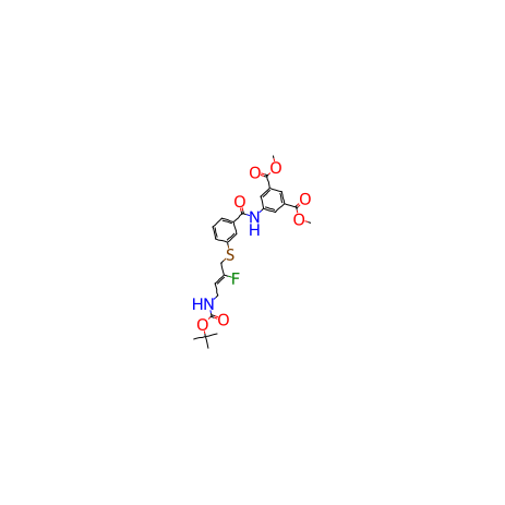 COC(=O)c1cc(NC(=O)c2cccc(SC/C(F)=C/CNC(=O)OC(C)(C)C)c2)cc(C(=O)OC)c1